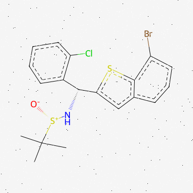 CC(C)(C)[S@+]([O-])N[C@@H](c1cc2cccc(Br)c2s1)c1ccccc1Cl